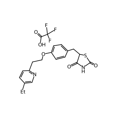 CCc1ccc(CCOc2ccc(CC3SC(=O)NC3=O)cc2)nc1.O=C(O)C(F)(F)F